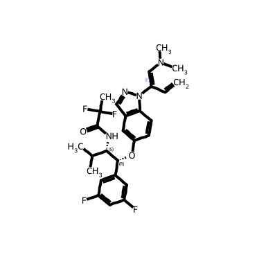 C=C/C(=C\N(C)C)n1ncc2cc(O[C@H](c3cc(F)cc(F)c3)[C@@H](NC(=O)C(C)(F)F)C(C)C)ccc21